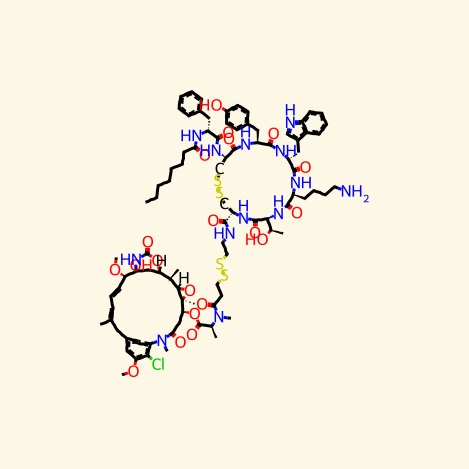 CCCCCCCC(=O)N[C@H](Cc1ccccc1)C(=O)N[C@H]1CSSC[C@@H](C(=O)NCCSSCCC(=O)N(C)[C@@H](C)C(=O)O[C@H]2CC(=O)N(C)c3cc(cc(OC)c3Cl)C/C(C)=C/C=C/[C@@H](OC)[C@@]3(O)C[C@H](OC(=O)N3)[C@@H](C)[C@@H]3O[C@@]23C)NC(=O)[C@H]([C@@H](C)O)NC(=O)[C@H](CCCCN)NC(=O)[C@@H](Cc2c[nH]c3ccccc23)NC(=O)[C@H](Cc2ccc(O)cc2)NC1=O